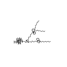 CCCCCCCCCOC(=O)CCCCCCCN(CCCCCCCC(=O)OC(CCCCCCCC)CCCCCCCC)CCCn1cnc2c(=O)[nH]c(C)nc21